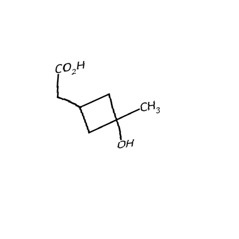 CC1(O)CC(CC(=O)O)C1